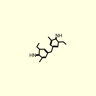 CCC1C=C(CC2=CC(CC)C(=N)C(C)=C2)C=C(C)C1=N